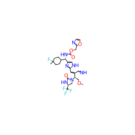 COC[C@H](/C(C=N)=C/c1nc([C@@H](NC(=O)OCc2ncco2)C2CCC(C)(F)CC2)c[nH]1)N1C[C@@H](C(F)(F)F)NC1=O